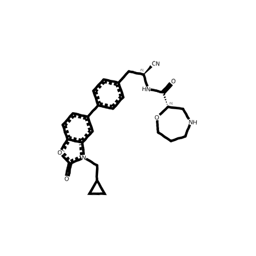 N#C[C@H](Cc1ccc(-c2ccc3oc(=O)n(CC4CC4)c3c2)cc1)NC(=O)[C@@H]1CNCCCO1